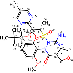 COc1cccc(OC)c1N(C(=O)[C@H]1CCOC1)N(C(=N)N)S(=O)(=O)[C@@H](C)[C@H](O[Si](C)(C)C(C)(C)C)c1ncc(C)cn1